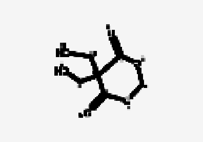 O=C1OCOC(=O)C1(CO)CO